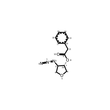 [N-]=[N+]=NC1COC[C@H]1OC(=O)Cc1ccccc1